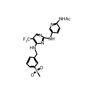 CC(=O)Nc1ccc(Nc2ncc(C(F)(F)F)c(NCc3cccc(S(C)(=O)=O)c3)n2)cn1